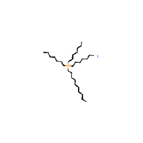 CCCCCCCCCC[P+](CCCCCCC)(CCCCCCC)CCCCCCC.[I-]